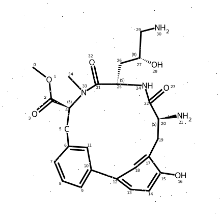 COC(=O)[C@@H]1Cc2cccc(c2)-c2ccc(O)c(c2)C[C@H](N)C(=O)N[C@@H](C[C@@H](O)CN)C(=O)N1C